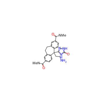 CNC(=O)c1ccc2c(c1)CCc1cc(C(=O)NC)ccc1C2(CCN)c1n[nH]c(=O)[nH]1